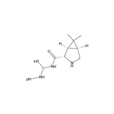 CCCNC(O)NC(=O)[C@H]1NC[C@H]2[C@@H]1C2(C)C